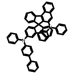 c1ccc(-c2ccc(N(c3ccccc3)c3ccc4c(c3)-c3ccccc3C43c4ccccc4-c4c3c(N(c3ccccc3)c3ccccc3)cc3ccccc43)cc2)cc1